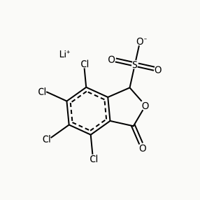 O=C1OC(S(=O)(=O)[O-])c2c(Cl)c(Cl)c(Cl)c(Cl)c21.[Li+]